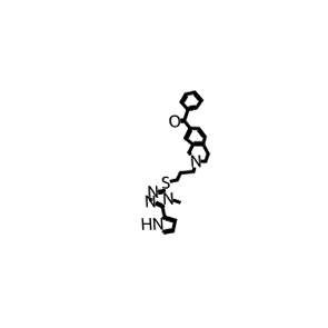 Cn1c(SCCCN2CCc3ccc(C(=O)c4ccccc4)cc3C2)nnc1-c1ccc[nH]1